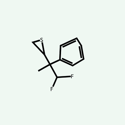 CC(c1ccccc1)(C(F)F)C1CS1